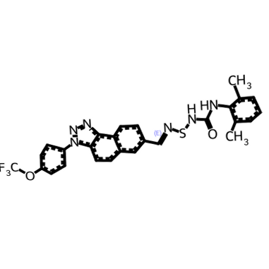 Cc1cccc(C)c1NC(=O)NS/N=C/c1ccc2c(ccc3c2nnn3-c2ccc(OC(F)(F)F)cc2)c1